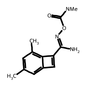 CNC(=O)ON=C(N)C1=Cc2cc(C)cc(C)c21